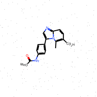 COC(=O)Nc1ccc(-c2cnc3ccc(C(=O)O)c(C)n23)cc1